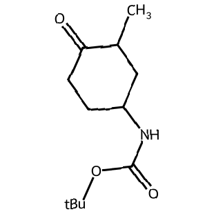 CC1CC(NC(=O)OC(C)(C)C)CCC1=O